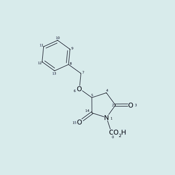 O=C(O)N1C(=O)CC(OCc2ccccc2)C1=O